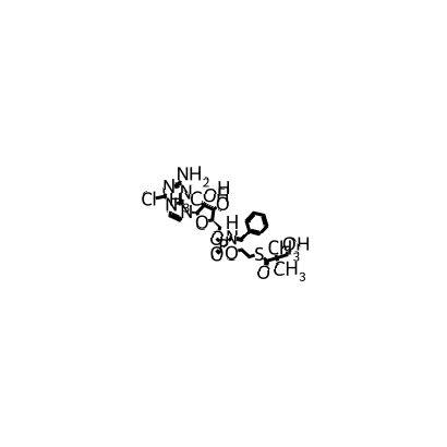 CC(C)(CO)C(=O)SCCOP(=O)(NCc1ccccc1)OC[C@H]1O[C@@H](N2C=CN3C2=NC(N)=NC3Cl)C(C)(O)[C@H]1O